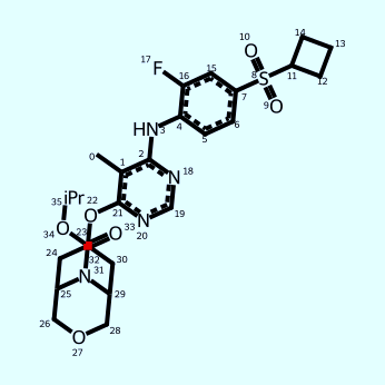 Cc1c(Nc2ccc(S(=O)(=O)C3CCC3)cc2F)ncnc1OC1CC2COCC(C1)N2C(=O)OC(C)C